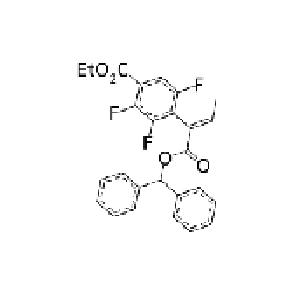 CC=C(C(=O)OC(c1ccccc1)c1ccccc1)c1c(F)cc(C(=O)OCC)c(F)c1F